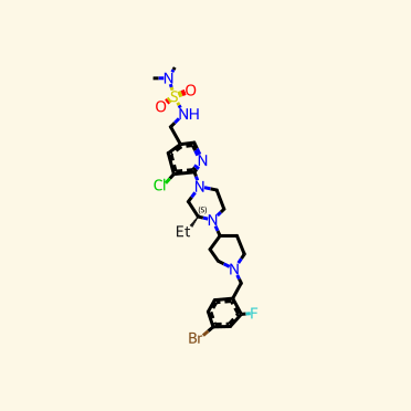 CC[C@H]1CN(c2ncc(CNS(=O)(=O)N(C)C)cc2Cl)CCN1C1CCN(Cc2ccc(Br)cc2F)CC1